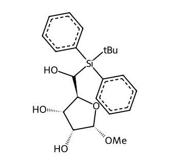 CO[C@H]1O[C@H](C(O)[Si](c2ccccc2)(c2ccccc2)C(C)(C)C)[C@@H](O)[C@H]1O